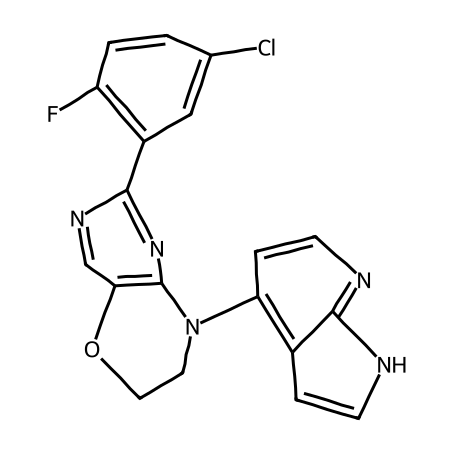 Fc1ccc(Cl)cc1-c1ncc2c(n1)N(c1ccnc3[nH]ccc13)CCO2